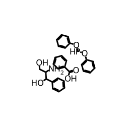 NC(CO)C(O)c1ccccc1.O=C(O)c1ccccc1.c1ccc(OPOc2ccccc2)cc1